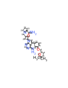 CC1(C)CCC(COc2cccc(-c3cn([C@H]4C[C@H](CN5CCC[C@@H]5C(N)=O)C4)c4ncnc(N)c34)c2)O1